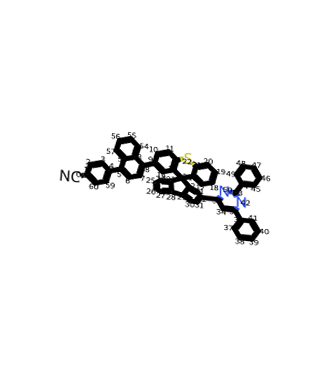 N#Cc1ccc(-c2ccc(-c3ccc4c(c3)C3(c5ccccc5S4)c4ccccc4-c4ccc(-c5cc(-c6ccccc6)nc(-c6ccccc6)n5)cc43)c3ccccc23)cc1